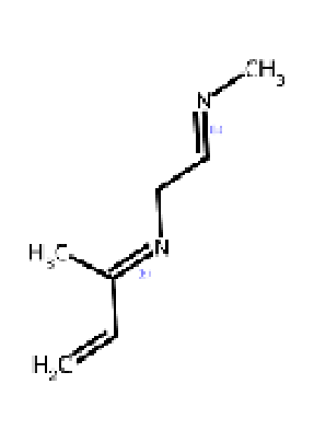 C=C/C(C)=N/C/C=N/C